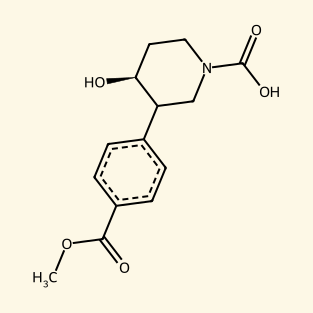 COC(=O)c1ccc(C2CN(C(=O)O)CC[C@@H]2O)cc1